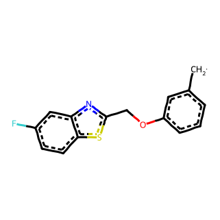 [CH2]c1cccc(OCc2nc3cc(F)ccc3s2)c1